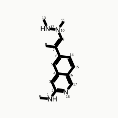 CNc1cc2cc(/C(C)=C/N(C)NC)ccc2cn1